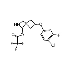 O=C(OC1NCC12CC(Oc1ccc(Cl)c(F)c1)C2)C(F)(F)F